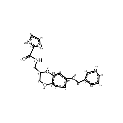 O=C(NC[C@@H]1COc2ccc(OCc3cccnc3)cc2O1)c1ncco1